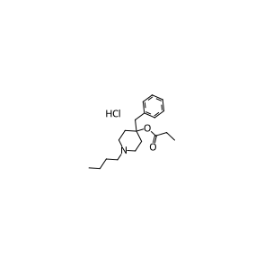 CCCCN1CCC(Cc2ccccc2)(OC(=O)CC)CC1.Cl